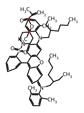 C=C(C)C(=O)OC1CCN(S(=O)(=O)c2ccccc2-c2c3cc/c(=[N+](/CC(CC)CCCC)c4c(C)cccc4C)cc-3oc3cc(N(CC(CC)CCCC)c4c(C)cccc4C)ccc23)CC1